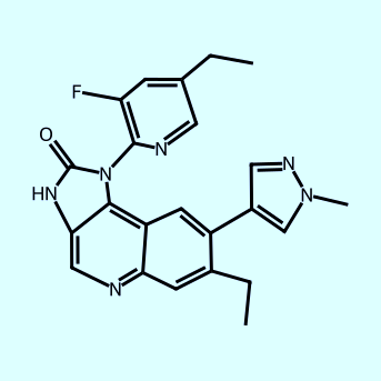 CCc1cnc(-n2c(=O)[nH]c3cnc4cc(CC)c(-c5cnn(C)c5)cc4c32)c(F)c1